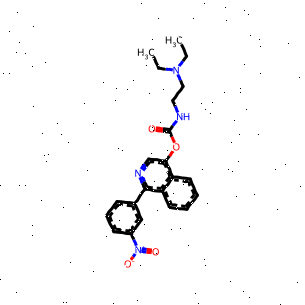 CCN(CC)CCNC(=O)Oc1cnc(-c2cccc([N+](=O)[O-])c2)c2ccccc12